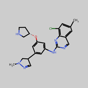 Cc1cc(Cl)c2nc(Nc3cc(O[C@H]4CCNC4)cc(C4C=NN(C)C4)c3)ncc2c1